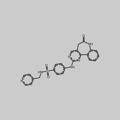 O=C1Cc2cnc(Nc3ccc(S(=O)(=O)NCc4ccncc4)cc3)nc2-c2ccccc2N1